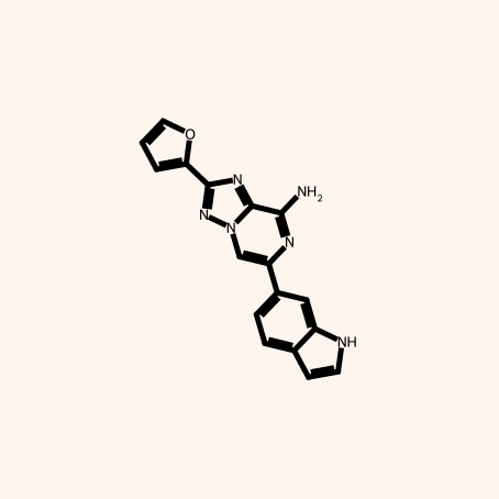 Nc1nc(-c2ccc3cc[nH]c3c2)cn2nc(-c3ccco3)nc12